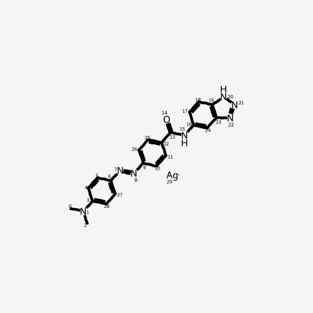 CN(C)c1ccc(N=Nc2ccc(C(=O)Nc3ccc4[nH]nnc4c3)cc2)cc1.[Ag]